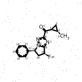 C[C@@H]1CC1C(=O)c1nc2n(n1)[C@H](c1ccccc1)C[C@@H]2F